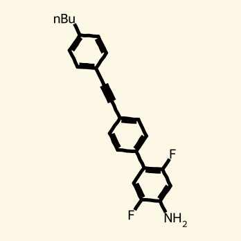 CCCCc1ccc(C#Cc2ccc(-c3cc(F)c(N)cc3F)cc2)cc1